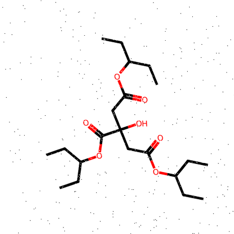 CCC(CC)OC(=O)CC(O)(CC(=O)OC(CC)CC)C(=O)OC(CC)CC